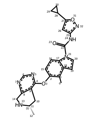 Cc1c(Oc2ncnc3c2C[C@H](C)NC3)ccc2c1ccn2C(=O)Nc1cc(C2CC2)on1